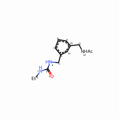 CCNC(=O)NCc1cccc(CNC(C)=O)c1